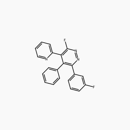 Fc1cccc(-c2nnc(F)c(-c3ccccn3)c2-c2ccccc2)c1